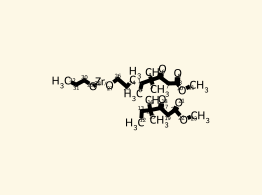 CCC(C)(C)C(=O)CC(=O)OC.CCC(C)(C)C(=O)CC(=O)OC.CCC[O][Zr][O]CCC